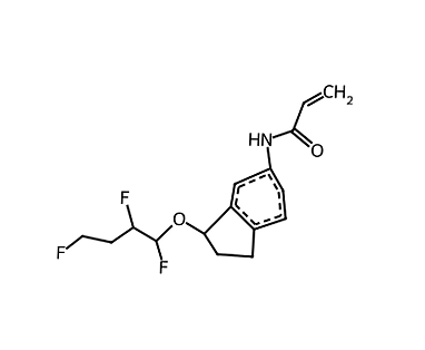 C=CC(=O)Nc1ccc2c(c1)C(OC(F)C(F)CCF)CC2